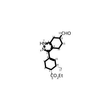 CCOC(=O)[C@@H]1CCC(c2n[nH]c3c2CCC(C=O)C3)=C[C@@H]1C